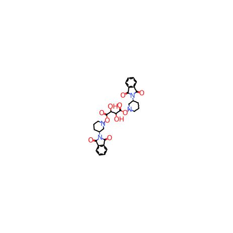 O=C(ON1CCC[C@H](N2C(=O)c3ccccc3C2=O)C1)C(O)C(O)C(=O)ON1CCC[C@H](N2C(=O)c3ccccc3C2=O)C1